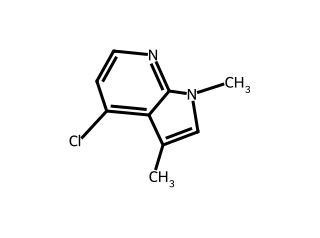 Cc1cn(C)c2nccc(Cl)c12